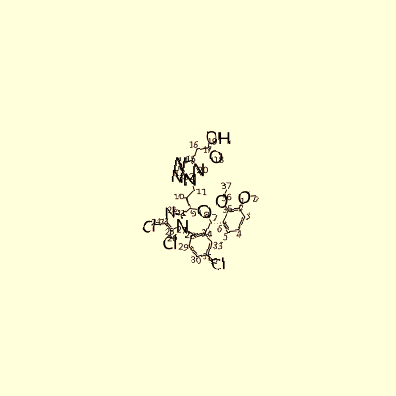 COc1cccc([C@H]2O[C@H](CCn3nnc(CC(=O)O)n3)c3nc(Cl)c(Cl)n3-c3ccc(Cl)cc32)c1OC